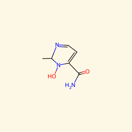 CC1N=CC=C(C(N)=O)N1O